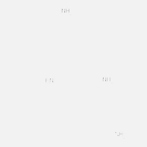 Nc1ccc2cc(Nc3ccc4c(N)cccc4c3)cc(N)c2c1